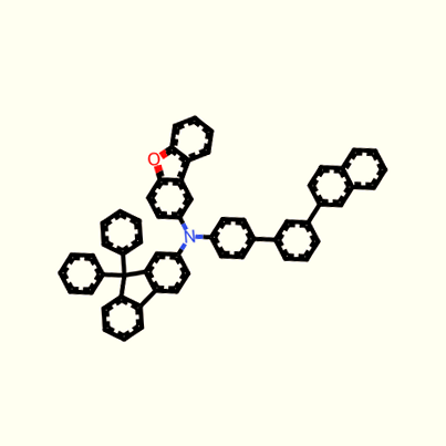 c1ccc(C2(c3ccccc3)c3ccccc3-c3ccc(N(c4ccc(-c5cccc(-c6ccc7ccccc7c6)c5)cc4)c4ccc5oc6ccccc6c5c4)cc32)cc1